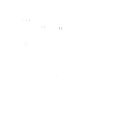 Cc1ccc(F)c(Oc2ccc([N+](=O)[O-])c(C(NC(=O)O)C(C)(C)C)c2)c1